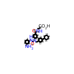 Nc1cccc(NC(=O)N(Cc2ccc(C3CCCCC3)cc2)c2ccc(C(=O)NCCC(=O)O)cc2)c1